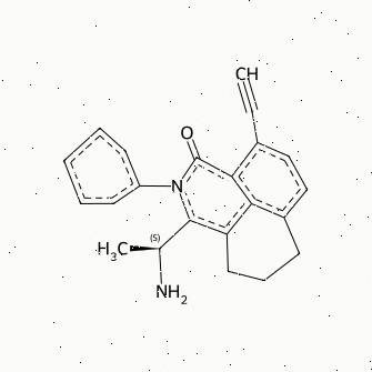 C#Cc1ccc2c3c(c([C@H](C)N)n(-c4ccccc4)c(=O)c13)CCC2